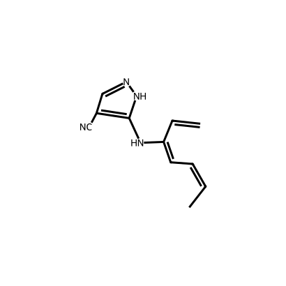 C=C/C(=C\C=C/C)Nc1[nH]ncc1C#N